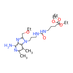 CCOCc1nc2c(N)nc(C)c(C)c2n1CCCNC(=O)NCCC[Si](OCC)(OCC)OCC